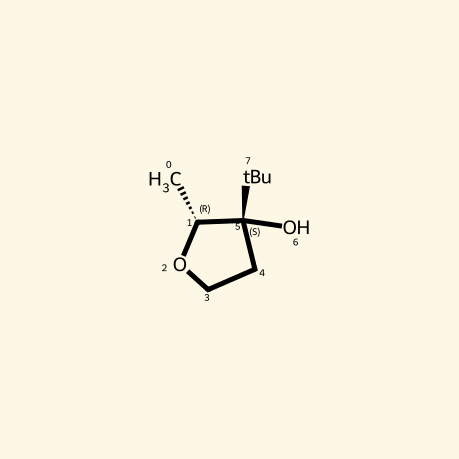 C[C@H]1OCC[C@]1(O)C(C)(C)C